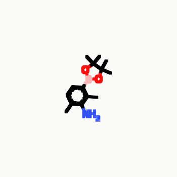 Cc1ccc(B2OC(C)(C)C(C)(C)O2)c(C)c1N